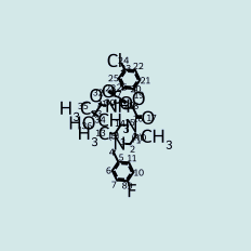 C[C@@H]1CN(Cc2ccc(F)cc2)[C@@H](C)CN1C(=O)COc1ccc(Cl)cc1S(=O)(=O)NC(=O)C(C)(C)O